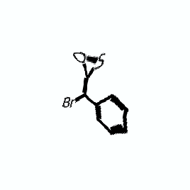 BrC(=C1OS1)c1ccccc1